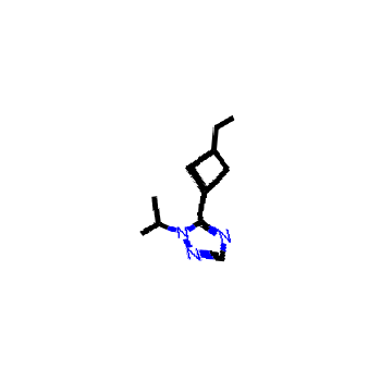 CCC1CC(c2ncnn2C(C)C)C1